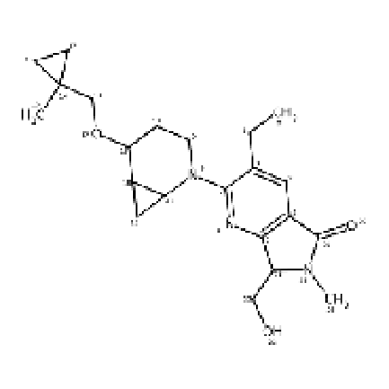 CCc1cc2c(nc1N1CCC(OCC3(C)CC3)C3CC31)C(CO)N(C)C2=O